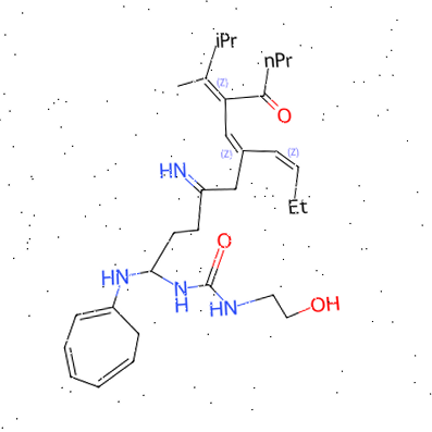 CC\C=C/C(=C\C(C(=O)CCC)=C(/C)C(C)C)CC(=N)CCC(NC(=O)NCCO)NC1=CC=CC=CC1